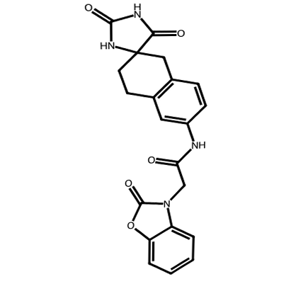 O=C(Cn1c(=O)oc2ccccc21)Nc1ccc2c(c1)CCC1(C2)NC(=O)NC1=O